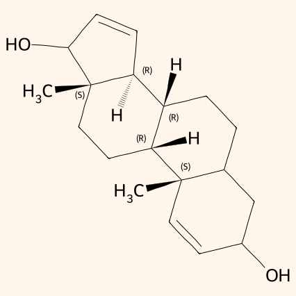 C[C@]12C=CC(O)CC1CC[C@@H]1[C@H]2CC[C@]2(C)C(O)C=C[C@@H]12